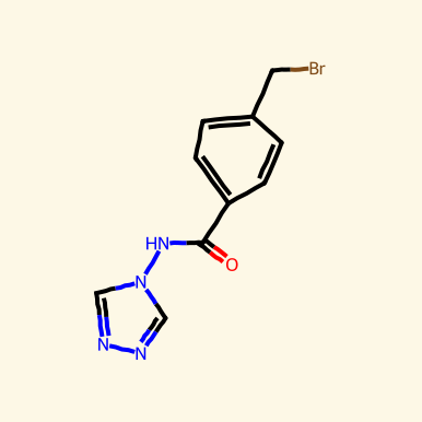 O=C(Nn1cnnc1)c1ccc(CBr)cc1